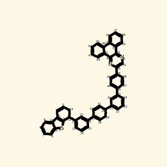 C1=Cc2c(sc3ccccc23)C(c2cccc(C3=CCC(c4cccc(-c5ccc(-c6cnc7c8ccccc8c8ccccc8c7n6)cc5)c4)C=C3)c2)C1